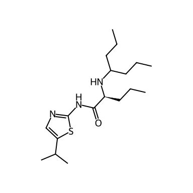 CCCC(CCC)N[C@@H](CCC)C(=O)Nc1ncc(C(C)C)s1